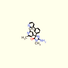 Cc1cc(C2(c3cccc(-c4cccnc4)c3)N=C(N)N(C)C2=O)cc(C)n1